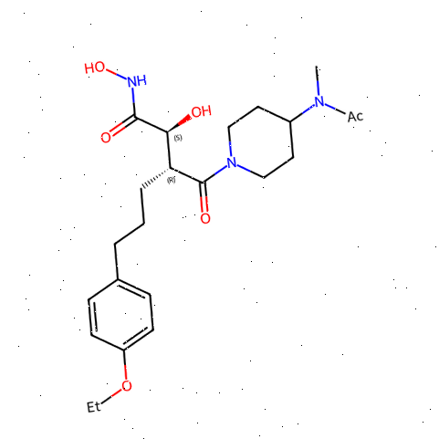 CCOc1ccc(CCC[C@@H](C(=O)N2CCC(N(C)C(C)=O)CC2)[C@H](O)C(=O)NO)cc1